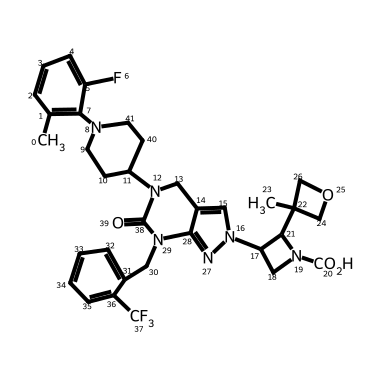 Cc1cccc(F)c1N1CCC(N2Cc3cn(C4CN(C(=O)O)C4C4(C)COC4)nc3N(Cc3ccccc3C(F)(F)F)C2=O)CC1